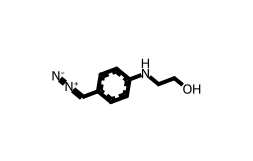 [N-]=[N+]=Cc1ccc(NCCO)cc1